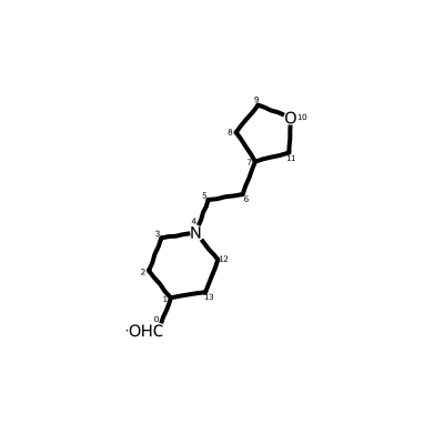 O=[C]C1CCN(CCC2CCOC2)CC1